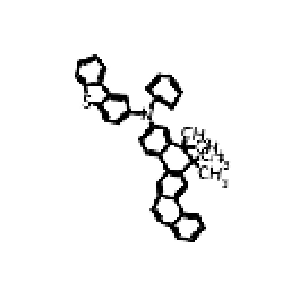 CC1(C)c2cc(N(c3ccccc3)c3ccc4sc5ccccc5c4c3)ccc2-c2cc3ccc4ccccc4c3cc2C1(C)C